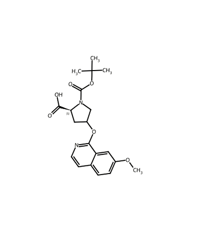 COc1ccc2ccnc(OC3C[C@@H](C(=O)O)N(C(=O)OC(C)(C)C)C3)c2c1